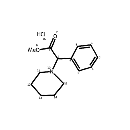 COC(=O)C(c1ccccc1)N1CCCCC1.Cl